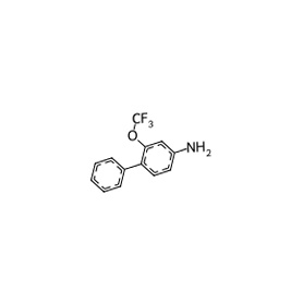 Nc1ccc(-c2ccccc2)c(OC(F)(F)F)c1